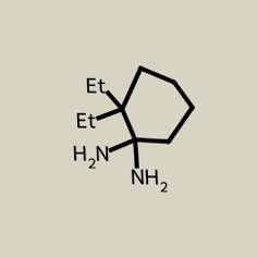 CCC1(CC)CCCCC1(N)N